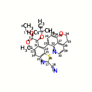 CCOC(=O)[C@@H](OC(C)(C)C)c1c(C)cc2nc(C#N)sc2c1-c1ccc2c3c(ccnc13)CCO2